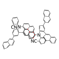 N#Cc1ccccc1N(C1=C2C=CC3=C4C(=CC=C(C=C1)C24)C(N(c1ccccc1C#N)c1ccc(-c2ccc4ccccc4c2)cc1-c1ccc2ccccc2c1)C=C3)c1ccc(-c2ccc3ccccc3c2)cc1-c1ccc2ccccc2c1